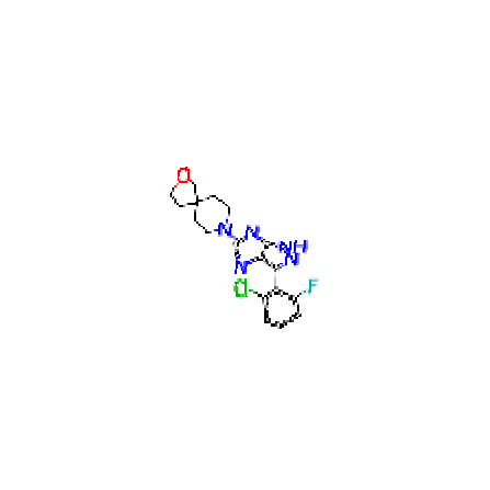 Fc1cccc(Cl)c1-c1n[nH]c2nc(N3CCC4(CCOC4)CC3)cnc12